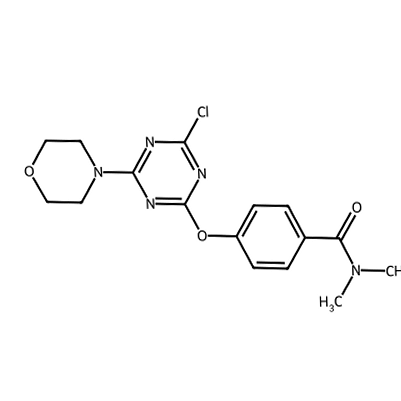 CN(C)C(=O)c1ccc(Oc2nc(Cl)nc(N3CCOCC3)n2)cc1